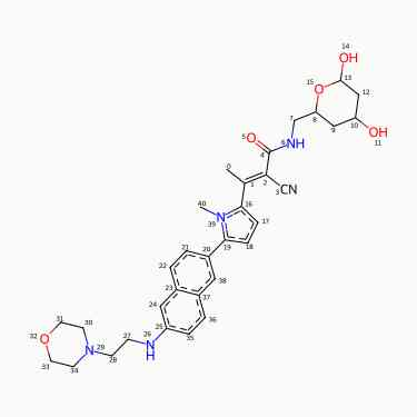 C/C(=C(/C#N)C(=O)NCC1CC(O)CC(O)O1)c1ccc(-c2ccc3cc(NCCN4CCOCC4)ccc3c2)n1C